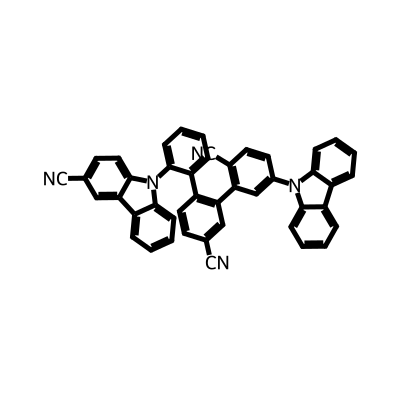 N#Cc1ccc(-c2ccccc2-n2c3ccccc3c3cc(C#N)ccc32)c(-c2cc(-n3c4ccccc4c4ccccc43)ccc2C#N)c1